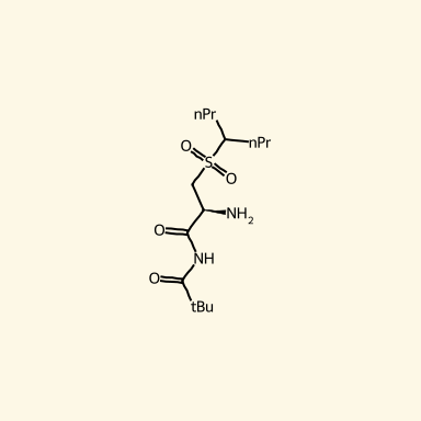 CCCC(CCC)S(=O)(=O)C[C@@H](N)C(=O)NC(=O)C(C)(C)C